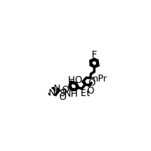 CCC[C@]1(CCc2ccc(F)cc2)CC(O)=C([C@H](CC)c2cccc(NS(=O)(=O)c3cn(C)cn3)c2)C(=O)O1